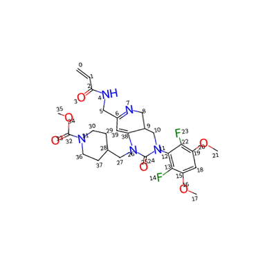 C=CC(=O)NCC1=NCC2CN(c3c(F)c(OC)cc(OC)c3F)C(=O)N(CC3CCN(C(=O)OC)CC3)C2=C1